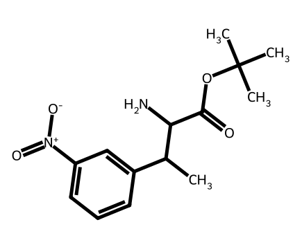 CC(c1cccc([N+](=O)[O-])c1)C(N)C(=O)OC(C)(C)C